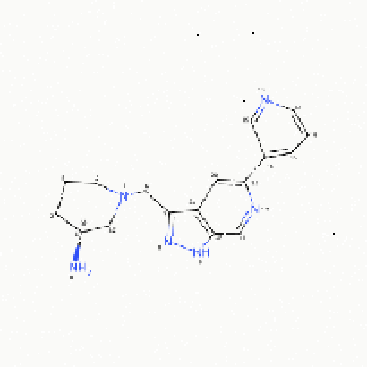 N[C@H]1CCCN(Cc2n[nH]c3cnc(-c4cccnc4)cc23)C1